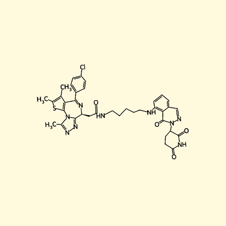 Cc1sc2c(c1C)C(c1ccc(Cl)cc1)=N[C@@H](CC(=O)NCCCCCNc1cccc3cnn(C4CCC(=O)NC4=O)c(=O)c13)c1nnc(C)n1-2